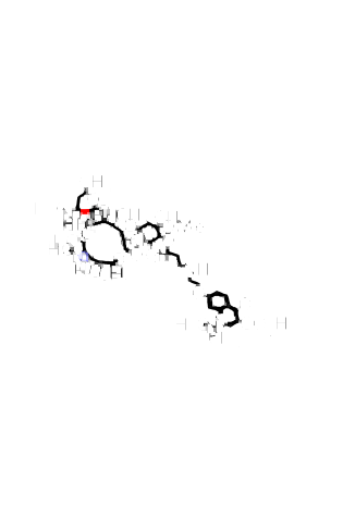 CC[C@H]1OC(=O)[C@H](C)[C@@H](O[C@H]2C[C@@](C)(OC)[C@@H](OC(=O)CCNCCOc3ccc4c(=O)c(C(=O)O)cn(N(C)C)c4c3)[C@H](C)O2)[C@H](C)[C@@H](O[C@@H]2O[C@H](C)C[C@H](N(C)C)[C@H]2O)[C@](C)(O)C[C@@H](C)/C(=N\O)[C@@H](O)[C@]1(C)O